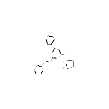 CC1(C)CCCC1Oc1cc(-c2ccccc2)nc(NSc2ccccc2)n1